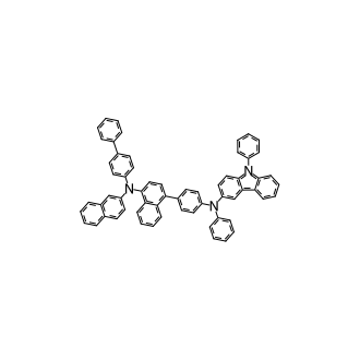 c1ccc(-c2ccc(N(c3ccc4ccccc4c3)c3ccc(-c4ccc(N(c5ccccc5)c5ccc6c(c5)c5ccccc5n6-c5ccccc5)cc4)c4ccccc34)cc2)cc1